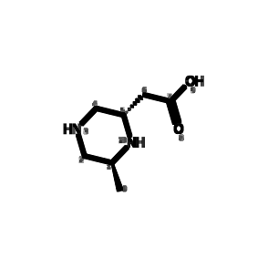 C[C@H]1CNC[C@H](CC(=O)O)N1